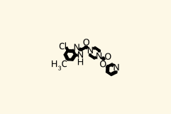 Cc1cc(Cl)c2nc(C(=O)N3CCN(C(=O)Oc4cccnc4)CC3)[nH]c2c1